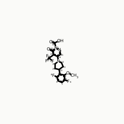 COc1c(F)ccc(F)c1C1CCN(c2cnn(C(=O)O)c(=O)c2C(F)(F)F)CC1